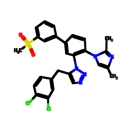 Cc1cn(-c2ccc(-c3cccc(S(C)(=O)=O)c3)cc2-n2nncc2Cc2ccc(Cl)c(Cl)c2)c(C)n1